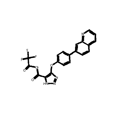 O=C(OC(=O)C(F)(F)F)c1[nH]nnc1Oc1ccc(-c2ccc3cccnc3c2)cc1